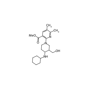 COC(=O)c1cc(C)c(C)nc1N1CCC(NC2CCCCC2)C(CO)C1